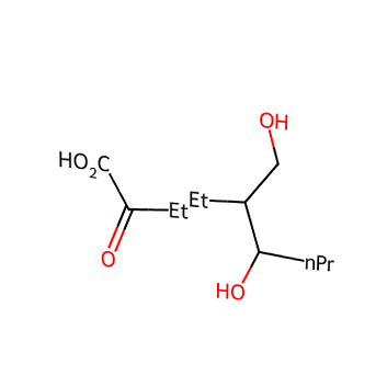 CCC(=O)C(=O)O.CCCC(O)C(CC)CO